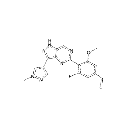 COc1cc(C=O)cc(F)c1-c1ncc2[nH]nc(-c3cnn(C)c3)c2n1